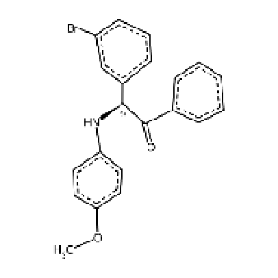 COc1ccc(N[C@H](C(=O)c2ccccc2)c2cccc(Br)c2)cc1